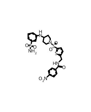 NS(=O)(=O)c1cccc(NC2CCN(S(=O)(=O)c3ccc(CNC(=O)c4ccc([N+](=O)[O-])cc4)s3)CC2)c1